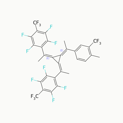 CC(=C1C(=C(/C)c2ccc(C)c(C(F)(F)F)c2)/C1=C(/C)c1c(F)c(F)c(C(F)(F)F)c(F)c1F)c1c(F)c(F)c(C(F)(F)F)c(F)c1F